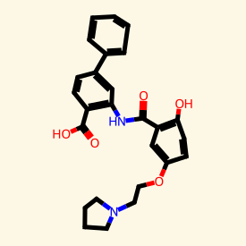 O=C(Nc1cc(-c2ccccc2)ccc1C(=O)O)c1cc(OCCN2CCCC2)ccc1O